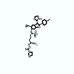 N/C(CCCN(Cc1cc2oc(-c3ccc(F)cc3)c(-c3ncc[nH]3)c2cc1C1CC1)[SH](=O)=O)=N\OC(=S)n1ccnc1